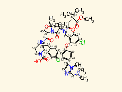 COC(=O)[C@H](CC(=O)N(Cc1ccc(Cl)cc1Oc1ccc(-c2cnc(CN(C)C)n2C)cc1)[C@@H](C)C(=O)N1[C@H](C(=O)N[C@@]2(Cc3ccc(Cl)cc3)CCCN(C(=O)O)C2)COC1(C)C)C(C)C